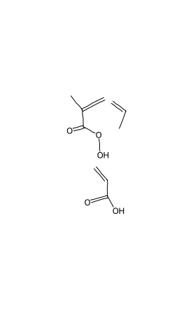 C=C(C)C(=O)OO.C=CC.C=CC(=O)O